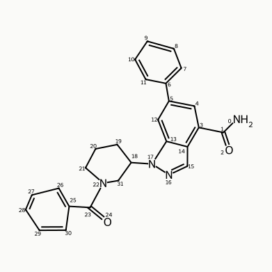 NC(=O)c1cc(-c2ccccc2)cc2c1cnn2C1CCCN(C(=O)c2ccccc2)C1